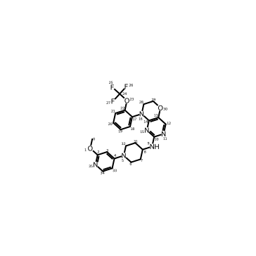 COc1cc(N2CCC(Nc3ncc4c(n3)N(c3ccccc3OC(F)(F)F)CCO4)CC2)ccn1